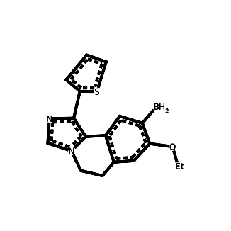 Bc1cc2c(cc1OCC)CCn1cnc(-c3cccs3)c1-2